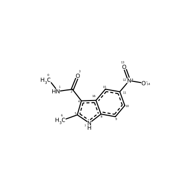 CNC(=O)c1c(C)[nH]c2ccc([N+](=O)[O-])cc12